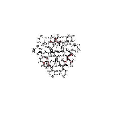 Cc1c(N(c2cc(-c3ccccc3)cc(-c3ccccc3)c2)c2cc(-c3ccccc3)cc(-c3ccccc3)c2)c(C)c(N(c2cc(-c3ccccc3)cc(-c3ccccc3)c2)c2cc(-c3ccccc3)cc(-c3ccccc3)c2)c(C)c1N(c1cc(-c2ccccc2)cc(-c2ccccc2)c1)c1cc(-c2ccccc2)cc(-c2ccccc2)c1